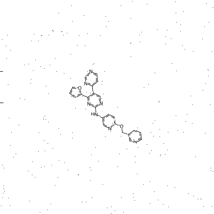 c1ccc(COc2ccc(Nc3ncc(-c4ccncn4)c(-c4ccco4)n3)cn2)cc1